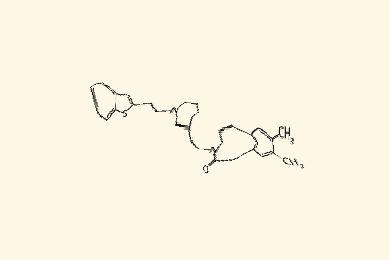 Cc1cc2c(cc1C)CC(=O)N(CC1CCCN(CCc3cc4ccccc4s3)C1)CC2